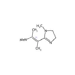 CN/C(C)=C(\C)C1=NCCN1C